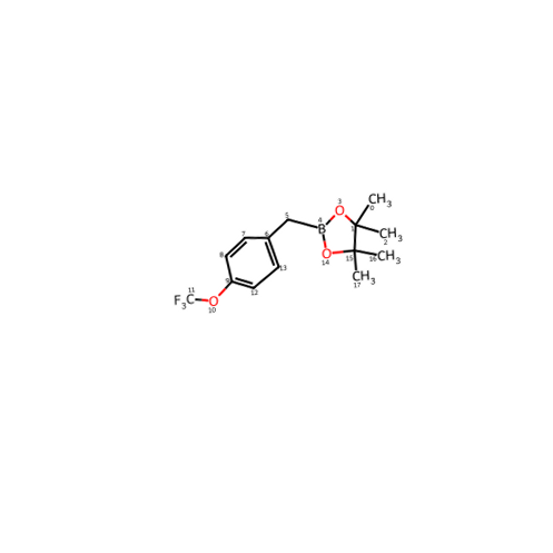 CC1(C)OB(Cc2ccc(OC(F)(F)F)cc2)OC1(C)C